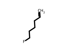 C=CCCCCF